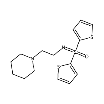 O=S(=NCCN1CCCCC1)(c1cccs1)c1cccs1